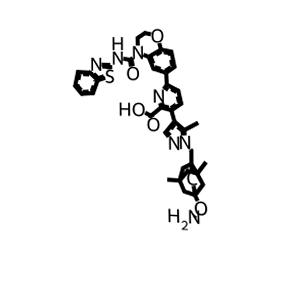 Cc1c(-c2ccc(-c3ccc4c(c3)N(C(=O)Nc3nc5ccccc5s3)CCO4)nc2C(=O)O)cnn1CC12CC3(C)CC(ON)(CC1(C)C3)C2